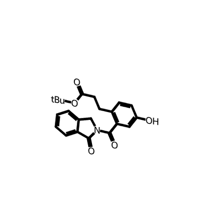 CC(C)(C)OC(=O)CCc1ccc(O)cc1C(=O)N1Cc2ccccc2C1=O